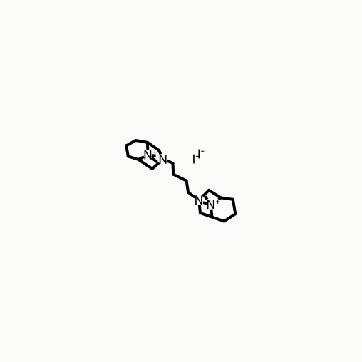 C[N+]1(C)C2CCCC1CN(CCCCN1CC3CCCC(C1)[N+]3(C)C)C2.[I-].[I-]